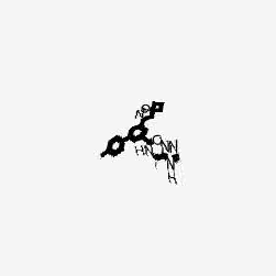 Cc1ccc(-c2cc(C(=O)N[C@@H](C)c3nnc[nH]3)cc(C3=NOC4(CCC4)C3)c2)cc1